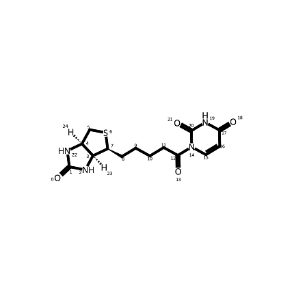 O=C1N[C@H]2[C@H](CS[C@H]2CCCCC(=O)n2ccc(=O)[nH]c2=O)N1